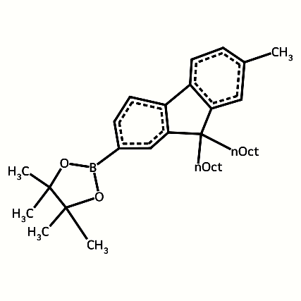 CCCCCCCCC1(CCCCCCCC)c2cc(C)ccc2-c2ccc(B3OC(C)(C)C(C)(C)O3)cc21